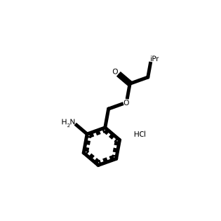 CC(C)CC(=O)OCc1ccccc1N.Cl